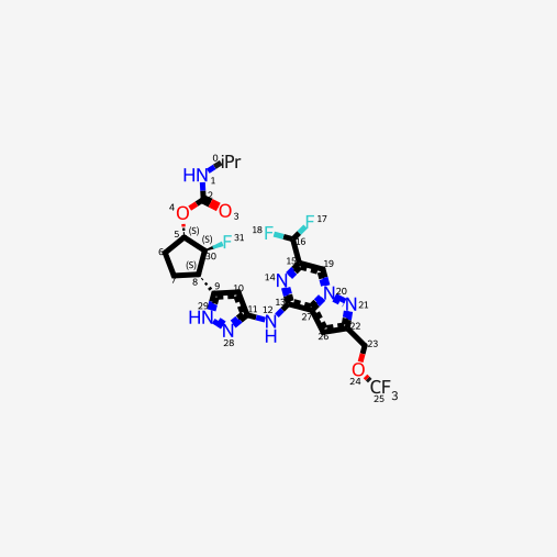 CC(C)NC(=O)O[C@H]1CC[C@@H](c2cc(Nc3nc(C(F)F)cn4nc(COC(F)(F)F)cc34)n[nH]2)[C@@H]1F